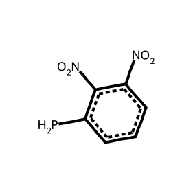 O=[N+]([O-])c1cccc(P)c1[N+](=O)[O-]